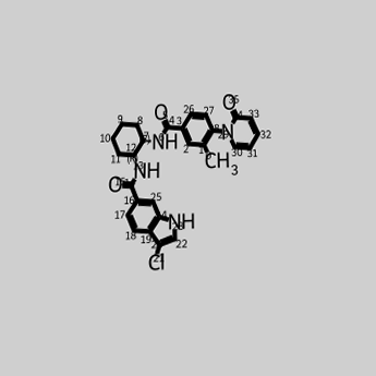 Cc1cc(C(=O)N[C@H]2CCCC[C@H]2NC(=O)c2ccc3c(Cl)c[nH]c3c2)ccc1-n1ccccc1=O